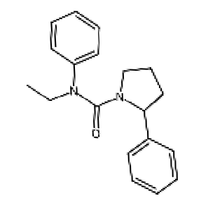 CCN(C(=O)N1CCCC1c1ccccc1)c1ccccc1